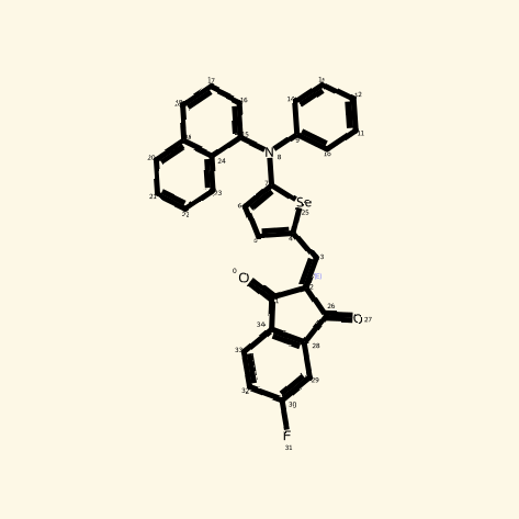 O=C1/C(=C\c2ccc(N(c3ccccc3)c3cccc4ccccc34)[se]2)C(=O)c2cc(F)ccc21